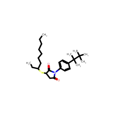 BC(C)(C)C(C)(C)c1ccc(N2C(=O)CC(SC(CC)CCCCCCC)C2=O)cc1